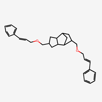 C(=C\c1ccccc1)/COCC1CC2C3CC(COC/C=C/c4ccccc4)C(C3)C2C1